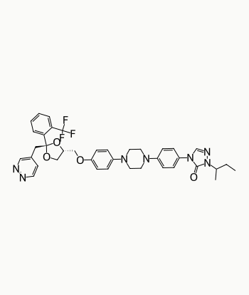 CCC(C)n1ncn(-c2ccc(N3CCN(c4ccc(OC[C@@H]5CO[C@](Cc6ccnnc6)(c6ccccc6C(F)(F)F)O5)cc4)CC3)cc2)c1=O